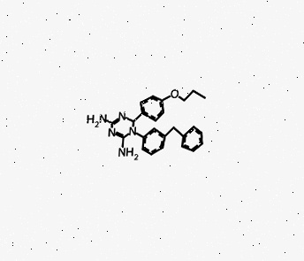 CCCOc1ccc(C2N=C(N)N=C(N)N2c2cccc(Cc3ccccc3)c2)cc1